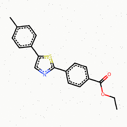 CCOC(=O)c1ccc(-c2ncc(-c3ccc(C)cc3)s2)cc1